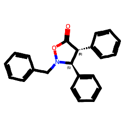 O=C1ON(Cc2ccccc2)[C@H](c2ccccc2)[C@H]1c1ccccc1